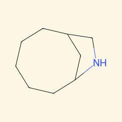 C1CCC2CNC(CC1)C2